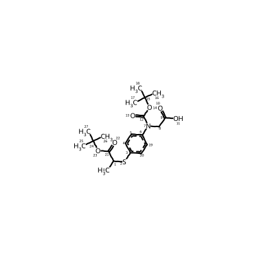 CC(Sc1ccc(N(CC(=O)O)C(=O)OC(C)(C)C)cc1)C(=O)OC(C)(C)C